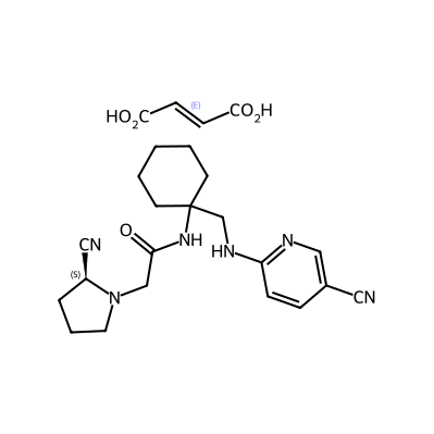 N#Cc1ccc(NCC2(NC(=O)CN3CCC[C@H]3C#N)CCCCC2)nc1.O=C(O)/C=C/C(=O)O